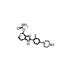 Cc1cc(N2CCNCC2)ccc1-c1nc2c(OC(N)=O)cccc2[nH]1